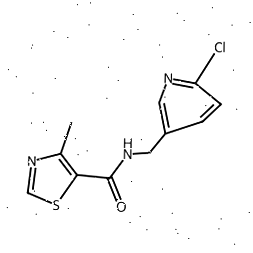 Cc1ncsc1C(=O)NCc1ccc(Cl)nc1